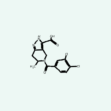 CC1Cc2n[nH]c(C(=O)O)c2CN1C(=O)c1ccc(Cl)c(Cl)c1